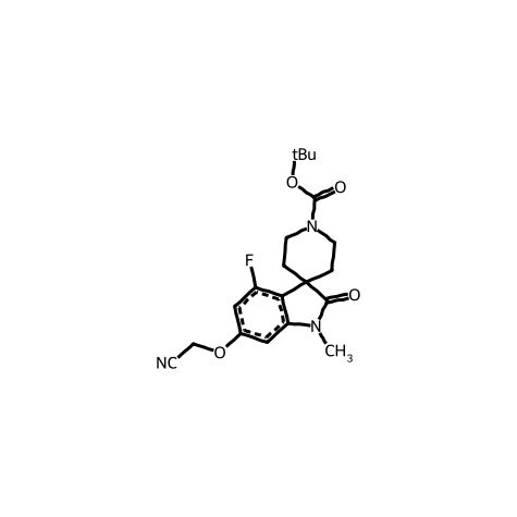 CN1C(=O)C2(CCN(C(=O)OC(C)(C)C)CC2)c2c(F)cc(OCC#N)cc21